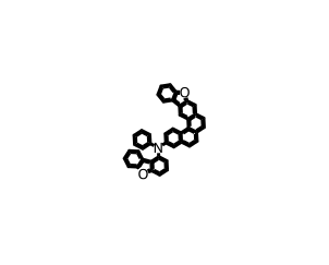 c1ccc(N(c2ccc3c(ccc4ccc5cc6oc7ccccc7c6cc5c43)c2)c2cccc3oc4ccccc4c23)cc1